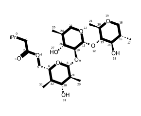 CC(C)CC(=O)OC[C@@H]1O[C@H](O[C@@H]2[C@@H](O[C@H]3[C@H](O)[C@@H](C)CO[C@@H]3C)OC[C@H](C)[C@H]2O)[C@@H](C)[C@H](O)[C@H]1C